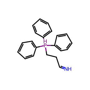 N=CCC[PH](c1ccccc1)(c1ccccc1)c1ccccc1